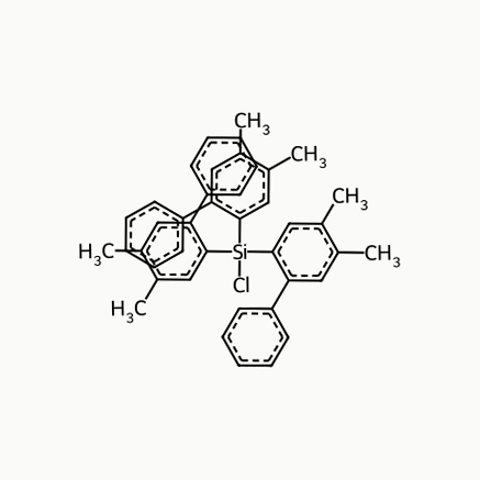 Cc1cc(-c2ccccc2)c([Si](Cl)(c2cc(C)c(C)cc2-c2ccccc2)c2cc(C)c(C)cc2-c2ccccc2)cc1C